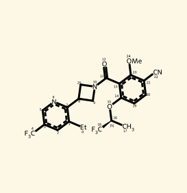 CCc1cc(C(F)(F)F)cnc1C1CN(C(=O)c2c(O[C@@H](C)C(F)(F)F)ccc(C#N)c2OC)C1